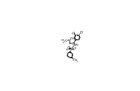 Cc1cccc(S(=O)(=O)N[C@@H](CN(C)C)c2ccc(Cl)c(Cl)c2)c1